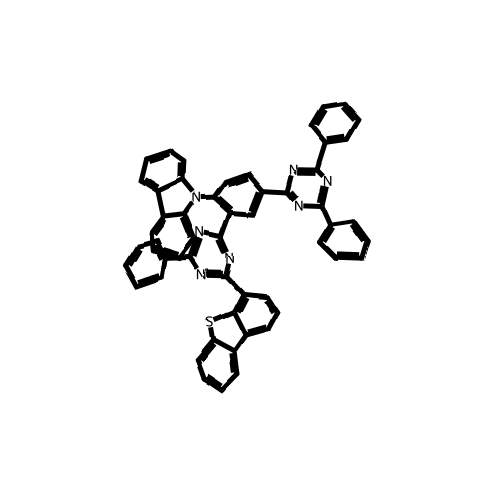 c1ccc(-c2nc(-c3ccccc3)nc(-c3ccc(-n4c5ccccc5c5ccccc54)c(-c4nc(-c5ccccc5)nc(-c5cccc6c5sc5ccccc56)n4)c3)n2)cc1